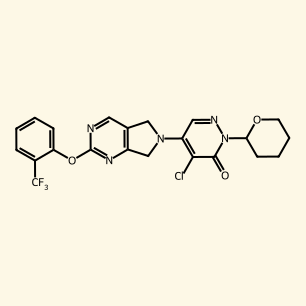 O=c1c(Cl)c(N2Cc3cnc(Oc4ccccc4C(F)(F)F)nc3C2)cnn1C1CCCCO1